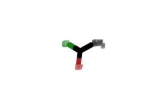 [SiH3]C(Cl)Br